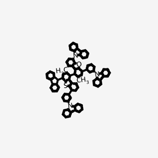 Cc1ccc(-n2c3ccccc3c3ccccc32)c2oc3c(-c4cccc(-n5c6ccccc6c6ccccc65)c4)ccc(-c4ccc(C5c6ccccc6-c6ccccc65)c5sc6c(-c7cccc(-n8c9ccccc9c9ccccc98)c7)ccc(C)c6c45)c3c12